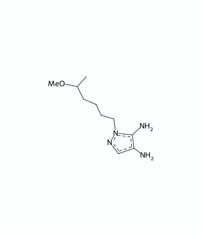 COC(C)CCCCn1ncc(N)c1N